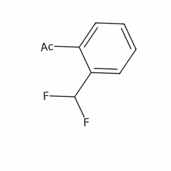 CC(=O)c1ccccc1C(F)F